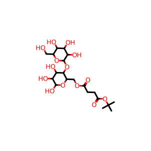 CC(C)(C)OC(=O)CCC(=O)OCC1OC(O)C(O)C(O)C1OC1OC(CO)C(O)C(O)C1O